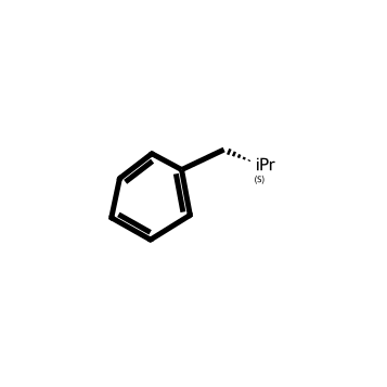 [CH2][C@@H](C)Cc1ccccc1